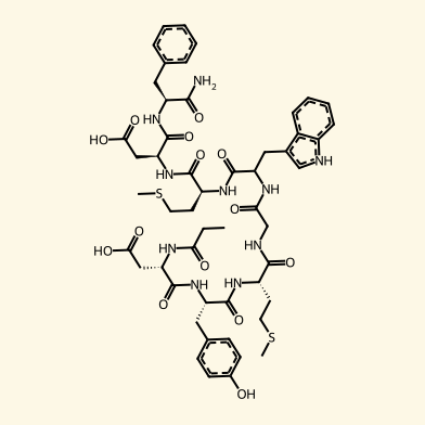 CCC(=O)N[C@@H](CC(=O)O)C(=O)N[C@@H](Cc1ccc(O)cc1)C(=O)N[C@@H](CCSC)C(=O)NCC(=O)NC(Cc1c[nH]c2ccccc12)C(=O)N[C@@H](CCSC)C(=O)N[C@@H](CC(=O)O)C(=O)N[C@@H](Cc1ccccc1)C(N)=O